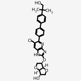 CC(C)(CO)c1ccc(-c2ccc(-c3nc4nc(O[C@@H]5CO[C@H]6[C@@H]5OC[C@H]6O)[nH]c4cc3Cl)cc2)cc1